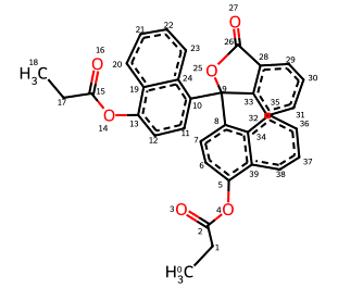 CCC(=O)Oc1ccc(C2(c3ccc(OC(=O)CC)c4ccccc34)OC(=O)c3ccccc32)c2ccccc12